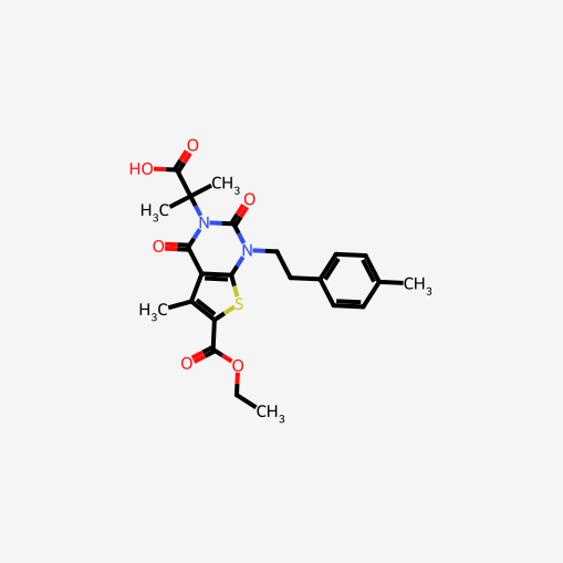 CCOC(=O)c1sc2c(c1C)c(=O)n(C(C)(C)C(=O)O)c(=O)n2CCc1ccc(C)cc1